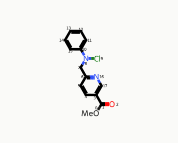 COC(=O)c1ccc(CN(Cl)c2ccccc2)nc1